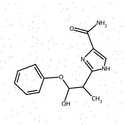 CC(c1nc(C(N)=O)c[nH]1)C(O)Oc1ccccc1